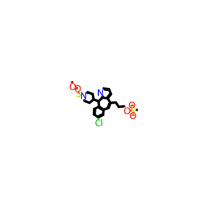 COOSN1CCC(C2c3ccc(Cl)cc3C=C(CCCOS(C)(=O)=O)c3cccnc32)CC1